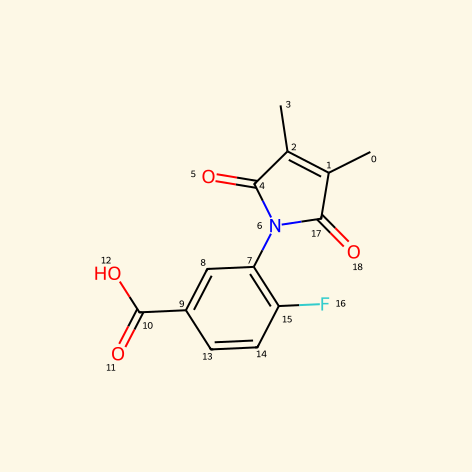 CC1=C(C)C(=O)N(c2cc(C(=O)O)ccc2F)C1=O